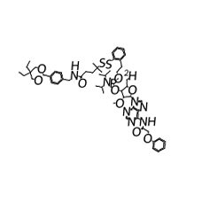 [2H]CC1OC(n2cnc3c(NC(=O)COc4ccccc4)ncnc32)C(OC)C1OP(OCCc1ccccc1SSC(C)(C)CCC(=O)NCc1ccc(C2OCC(CC)(CC)CO2)cc1)N(C(C)C)C(C)C